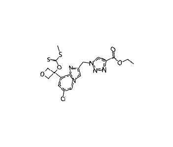 CCOC(=O)c1cn(Cc2cn3cc(Cl)cc(C4(OC(=S)SC)COC4)c3n2)nn1